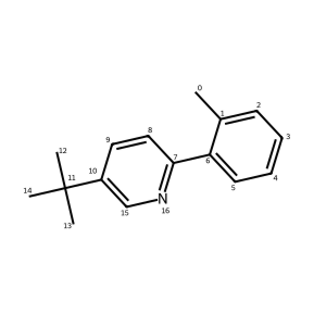 Cc1ccccc1-c1ccc(C(C)(C)C)cn1